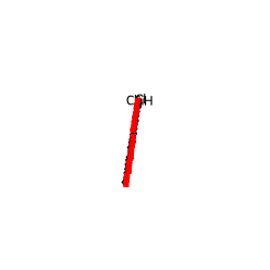 CCCCCCCCCCCCCCCCCCCCCCCCCCCCCCCCCCCCCC[C@H](I)[SiH](Cl)Cl